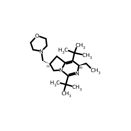 CC[C@H]1N=C(C(C)(C)C)N2C[C@H](CN3CCOCC3)CC2=C1C(C)(C)C